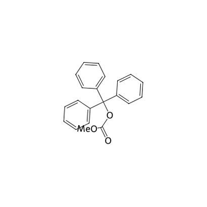 COC(=O)OC(c1ccccc1)(c1ccccc1)c1ccccc1